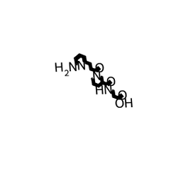 Nc1cccc(CCC(=O)N2CCCC(C(=O)NCCC(=O)O)C2)n1